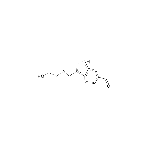 O=Cc1ccc2c(CNCCO)c[nH]c2c1